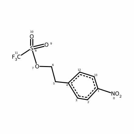 O=[N+]([O-])c1ccc(CCOS(=O)(=O)C(F)(F)F)cc1